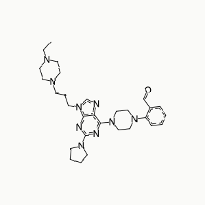 CCN1CCN(CCCn2cnc3c(N4CCN(c5ccccc5C=O)CC4)nc(N4CCCC4)nc32)CC1